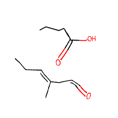 CC/C=C(\C)C=O.CCC(=O)O